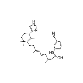 CC1=C(/C=C/C(C)=C/C=C/C(C)=C\C(O)=[SH]c2cccc(C#N)c2)C(C)(C)CCC1c1c[nH]cn1